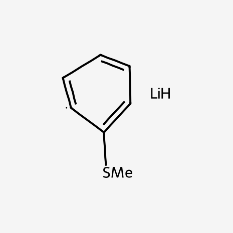 CSc1[c]cccc1.[LiH]